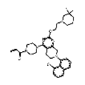 C=CC(=O)N1CCN(c2nc(OCCN3CCCC(F)(F)C3)nc3c2CCN(c2cccc4cccc(Cl)c24)C3)CC1